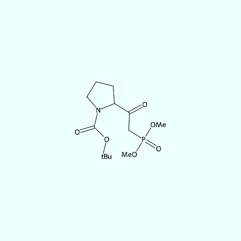 COP(=O)(CC(=O)C1CCCN1C(=O)OC(C)(C)C)OC